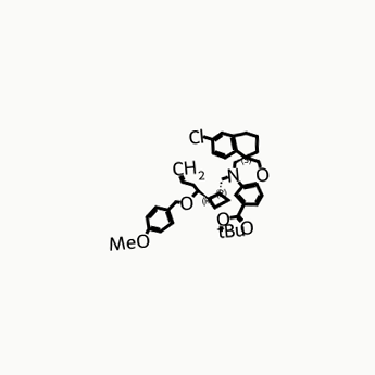 C=CCC(OCc1ccc(OC)cc1)[C@@H]1CC[C@H]1CN1C[C@@]2(CCCc3cc(Cl)ccc32)COc2ccc(C(=O)OC(C)(C)C)cc21